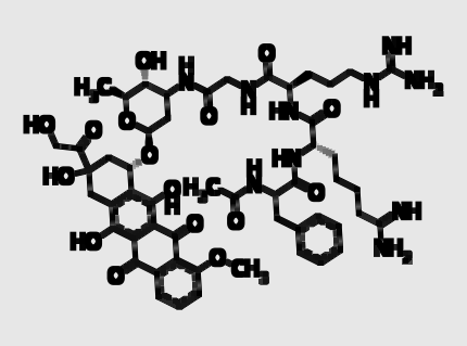 COc1cccc2c1C(=O)c1c(O)c3c(c(O)c1C2=O)CC(O)(C(=O)CO)C[C@@H]3O[C@@H]1CC(NC(=O)CNC(=O)[C@@H](CCCNC(=N)N)NC(=O)[C@H](CCCCC(=N)N)NC(=O)C(Cc2ccccc2)NC(C)=O)[C@@H](O)[C@H](C)O1